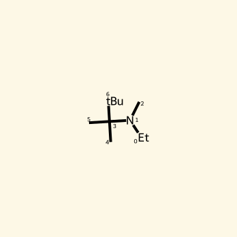 CCN(C)C(C)(C)C(C)(C)C